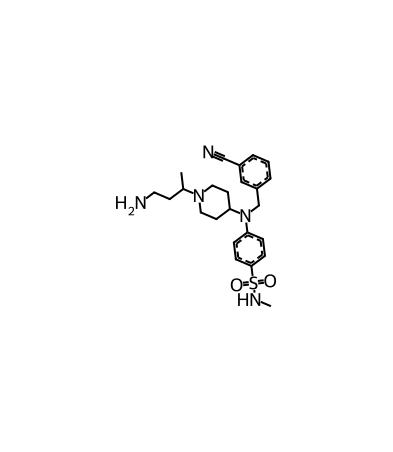 CNS(=O)(=O)c1ccc(N(Cc2cccc(C#N)c2)C2CCN(C(C)CCN)CC2)cc1